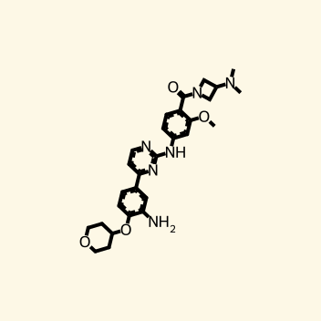 COc1cc(Nc2nccc(-c3ccc(OC4CCOCC4)c(N)c3)n2)ccc1C(=O)N1CC(N(C)C)C1